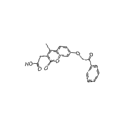 Cc1c(CC(=O)O)c(=O)oc2cc(OCC(=O)c3ccccc3)ccc12